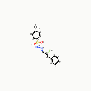 Cc1ccc(S(=O)(=O)NN=CC(F)=Cc2ccccc2)cc1